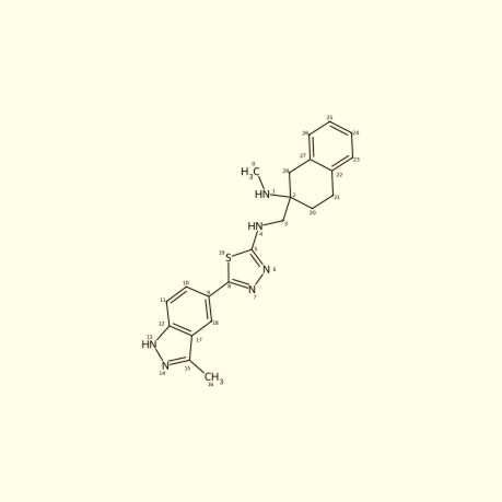 CNC1(CNc2nnc(-c3ccc4[nH]nc(C)c4c3)s2)CCc2ccccc2C1